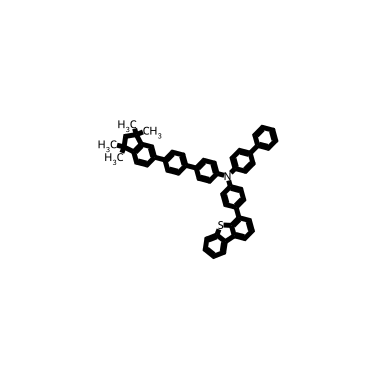 CC1(C)CC(C)(C)c2cc(-c3ccc(-c4ccc(N(c5ccc(-c6ccccc6)cc5)c5ccc(-c6cccc7c6sc6ccccc67)cc5)cc4)cc3)ccc21